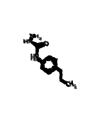 CCCc1ccc(NC(=O)NN)cc1